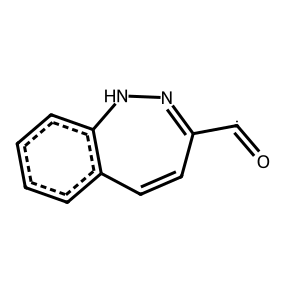 O=[C]C1=NNc2ccccc2C=C1